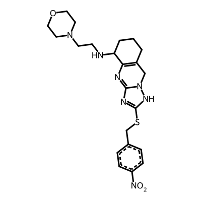 O=[N+]([O-])c1ccc(CSC2=NC3=NC4=C(CCCC4NCCN4CCOCC4)CN3N2)cc1